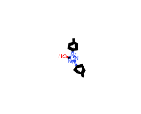 Cc1ccc(-n2nc(O)[n+](-c3ccc(C)cc3)n2)cc1